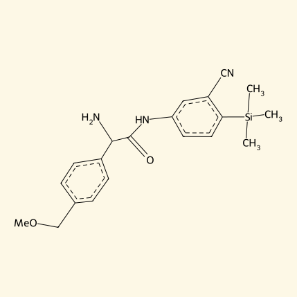 COCc1ccc(C(N)C(=O)Nc2ccc([Si](C)(C)C)c(C#N)c2)cc1